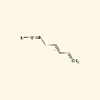 C=C/C=C/CN=[N+]=[N-]